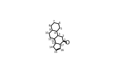 O=C1CC2C3CCCCC3CCC2C2CC=CC12